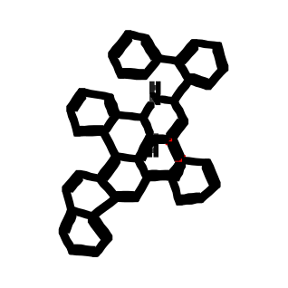 C1=C(c2ccccc2)NC(c2ccccc2-c2c3ccccc3cc3c2ccc2ccccc23)NC1c1ccccc1-c1ccccc1